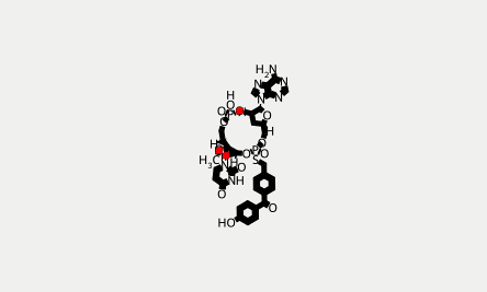 CO[C@H]1[C@H]2OP(=O)(SCc3ccc(C(=O)c4ccc(O)cc4)cc3)OC[C@@H]3C[C@@H](OP(=O)(O)OC[C@H]1O[C@H]2n1ccc(=O)[nH]c1=O)[C@H](n1cnc2c(N)ncnc21)O3